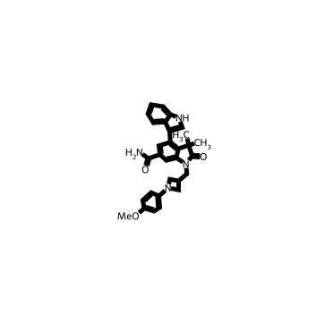 COc1ccc(N2CC(CN3C(=O)C(C)(C)c4c(-c5c[nH]c6ccccc56)cc(C(N)=O)cc43)C2)cc1